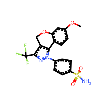 COc1ccc2c(c1)OCc1c(C(F)(F)F)nn(-c3ccc(S(N)(=O)=O)cc3)c1-2